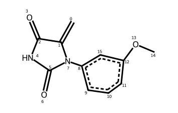 C=C1C(=O)NC(=O)N1c1cccc(OC)c1